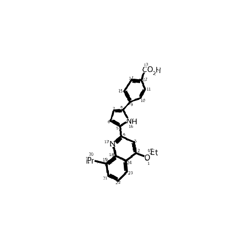 CCOc1cc(-c2ccc(-c3ccc(C(=O)O)cc3)[nH]2)nc2c(C(C)C)cccc12